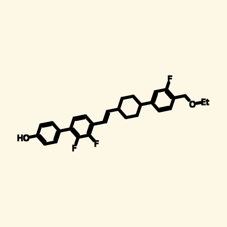 CCOCc1ccc(C2CCC(/C=C/c3ccc(-c4ccc(O)cc4)c(F)c3F)CC2)cc1F